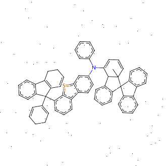 CC12C=CC=C(N(c3ccccc3)c3ccc4c(c3)sc3c(C5(C6=CCCC=C6)C6=C(CCC=C6)c6ccccc65)cccc34)C1c1ccccc1C21c2ccccc2-c2ccccc21